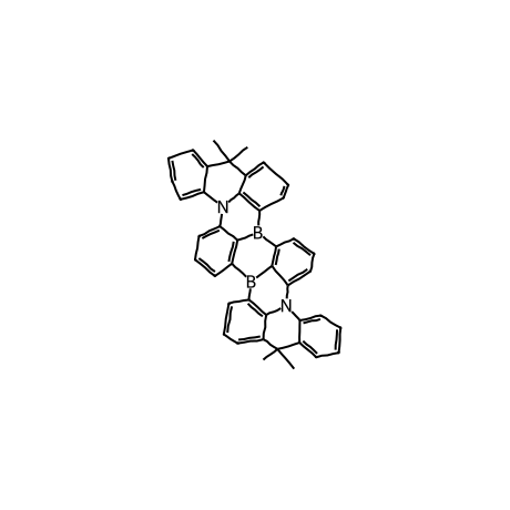 CC1(C)c2ccccc2N2c3cccc4c3B(c3cccc5c3B4c3cccc4c3N5c3ccccc3C4(C)C)c3cccc1c32